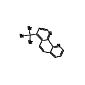 BrC(Br)(Br)c1ccnc2c1ccc1cccnc12